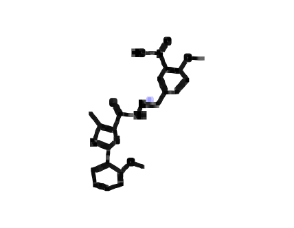 COc1ccccc1-c1nc(C)c(C(=O)N/N=C/c2ccc(OC)c(S(=O)O)c2)s1